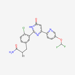 CCC(Cc1ccc(Cl)c(-c2nc(-c3ccc(OC(F)F)cn3)cc(=O)[nH]2)c1)C(N)=O